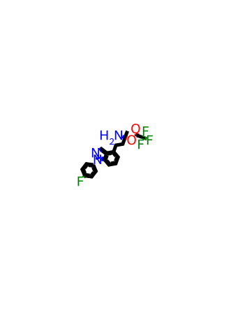 CC(N)(CCc1cccc2c1cnn2-c1ccc(F)cc1)OC(=O)C(F)(F)F